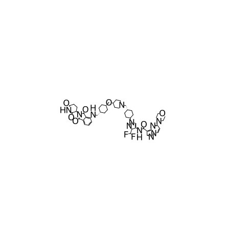 O=C1CCC(N2C(=O)c3cccc(NC[C@H]4CC[C@H](OC5CCN(C[C@H]6CC[C@H](n7cc(NC(=O)c8cnn9ccc(N%10CCOCC%10)nc89)c(C(F)F)n7)CC6)CC5)CC4)c3C2=O)C(=O)N1